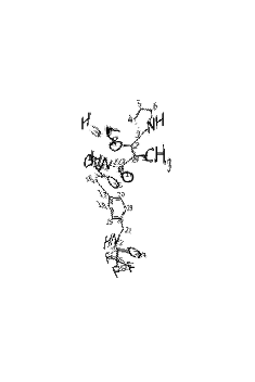 CO[C@@H]([C@@H]1CCCN1)[C@@H](C)C(=O)NS(=O)(=O)Cc1ccc(CNC(=O)C(F)(F)F)cc1